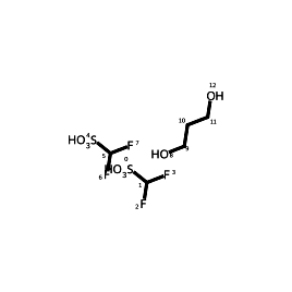 O=S(=O)(O)C(F)F.O=S(=O)(O)C(F)F.OCCCO